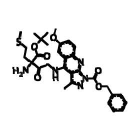 COc1ccc2nc3c(c(C)nn3C(=O)OCc3ccccc3)c(NCC(=O)[C@](N)(CCSC)C(=O)OC(C)(C)C)c2c1